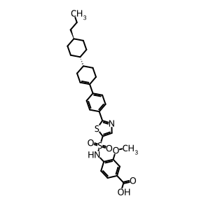 CCC[C@H]1CC[C@H](C2CC=C(c3ccc(-c4ncc(S(=O)(=O)Nc5ccc(C(=O)O)cc5OC)s4)cc3)CC2)CC1